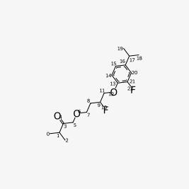 CC(C)C(=O)COCCC(F)COc1ccc(C(C)C)cc1F